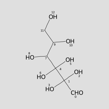 O=CC(O)(O)C(O)(O)C(O)C(O)CO